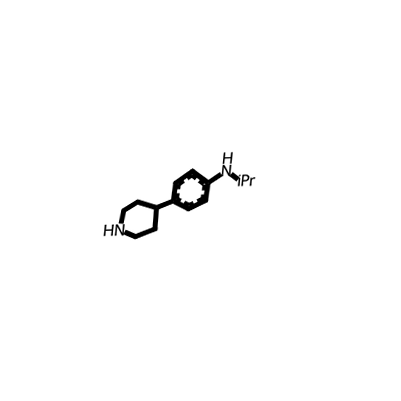 CC(C)Nc1ccc(C2CCNCC2)cc1